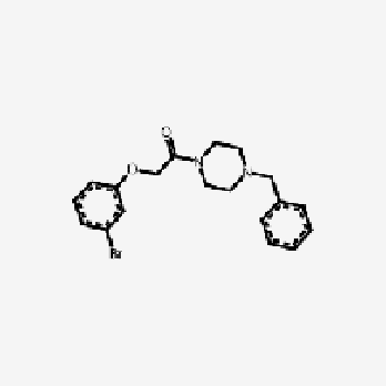 O=C(COc1cccc(Br)c1)N1CCN(Cc2ccccc2)CC1